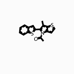 CC(=O)n1c(-c2cc3ccccc3s2)c(C)c2sccc21